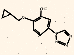 O=Cc1cc(-n2cnnn2)ccc1OCC1CC1